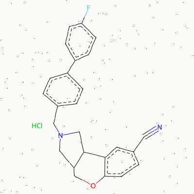 Cl.N#Cc1ccc2c(c1)C1CN(Cc3ccc(-c4ccc(F)cc4)cc3)CC1CO2